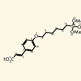 CCOC(=O)C=Cc1ccc(OCCCCCC[Si](OC)(OC)OC)cc1